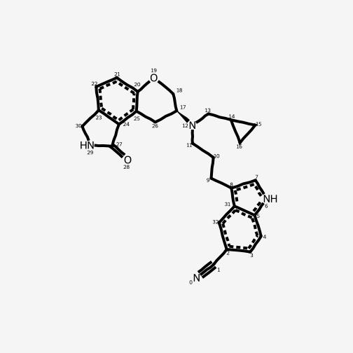 N#Cc1ccc2[nH]cc(CCCN(CC3CC3)[C@@H]3COc4ccc5c(c4C3)C(=O)NC5)c2c1